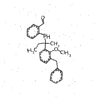 CCC(C)(Pc1ccccc1C=O)c1cccc(Cc2ccccc2)c1OC